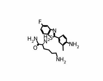 Cc1cc(-c2nc3cc(F)ccc3s2)ccc1N.NCCCC[C@H](N)C(N)=O